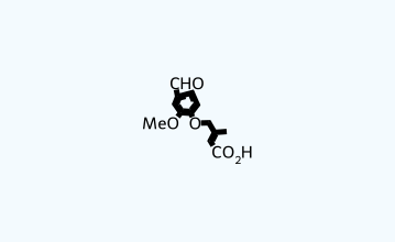 COc1cc(C=O)ccc1OCC(C)=CC(=O)O